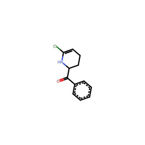 O=C(c1ccccc1)C1CCC=C(Cl)N1